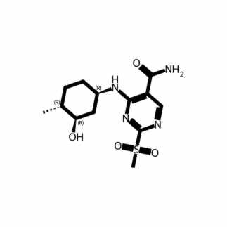 C[C@@H]1CC[C@@H](Nc2nc(S(C)(=O)=O)ncc2C(N)=O)C[C@H]1O